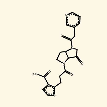 NC(=O)c1ccsc1C[CH]C(=O)N1CCC2C1C(=O)CN2C(=O)Cc1cccnc1